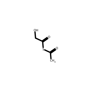 CC(=O)SC(=O)CO